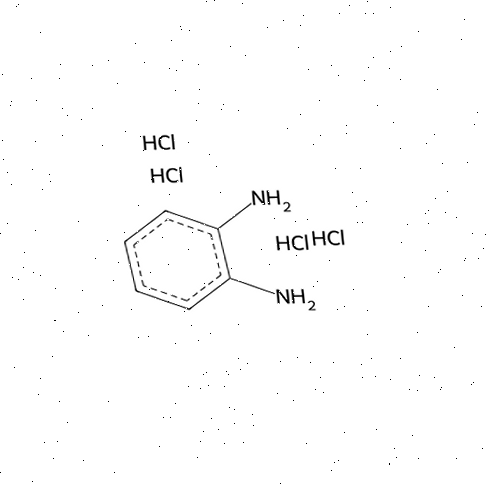 Cl.Cl.Cl.Cl.Nc1ccccc1N